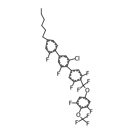 CCCCCCc1ccc(-c2cc(F)c(-c3cc(F)c(C(F)(F)Oc4cc(F)c(OC(F)(F)F)c(F)c4)c(F)c3)c(Cl)c2)c(F)c1